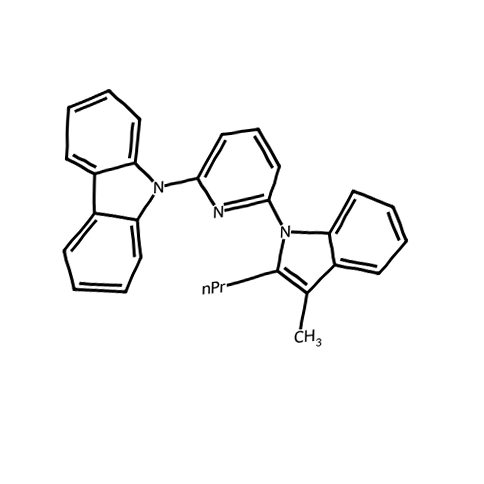 CCCc1c(C)c2ccccc2n1-c1cccc(-n2c3ccccc3c3ccccc32)n1